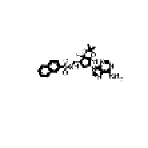 CC1(C)O[C@H]2[C@@H](CNS(=O)(=O)c3ccc4ccccc4c3)C[C@@H](n3cnc4c(N)ncnc43)[C@H]2O1